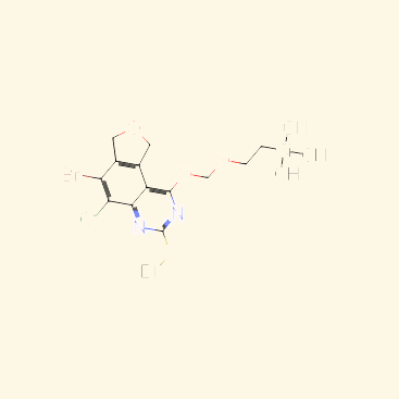 CCSc1nc(OCOCC[Si](C)(C)C)c2c3c(c(Br)c(Cl)c2n1)COC3